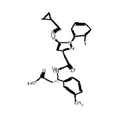 Cc1cccc([C@H](CC(=O)O)NC(=O)c2cc(OCC3CC3)n(-c3ccccc3F)n2)c1